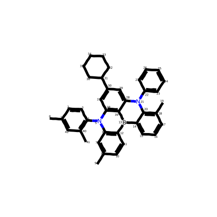 Cc1ccc(N2c3cc(C)ccc3B3c4cccc(C)c4N(c4ccccc4)c4cc(C5CCCCC5)cc2c43)c(C)c1